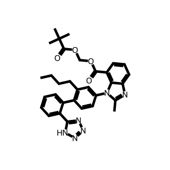 CCCCc1cc(-n2c(C)nc3cccc(C(=O)OCOC(=O)C(C)(C)C)c32)ccc1-c1ccccc1-c1nnn[nH]1